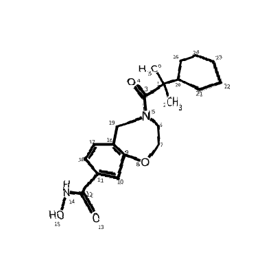 CC(C)(C(=O)N1CCOc2cc(C(=O)NO)ccc2C1)C1CCCCC1